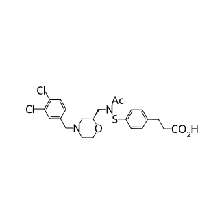 CC(=O)N(C[C@@H]1CN(Cc2ccc(Cl)c(Cl)c2)CCO1)Sc1ccc(CCC(=O)O)cc1